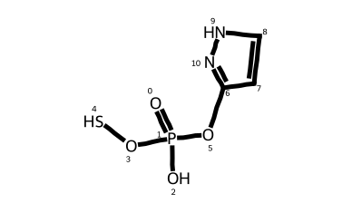 O=P(O)(OS)Oc1cc[nH]n1